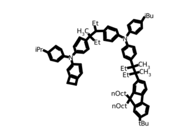 CCCCCCCCC1(CCCCCCCC)c2cc(C(C)(C)C)ccc2-c2ccc(C(C)(CC)C(C)(CC)c3ccc(N(c4ccc(C(C)CC)cc4)c4ccc(C(CC)C(C)(CC)c5ccc(N(c6ccc(C(C)C)cc6)c6ccc7c(c6)CC7)cc5)cc4)cc3)cc21